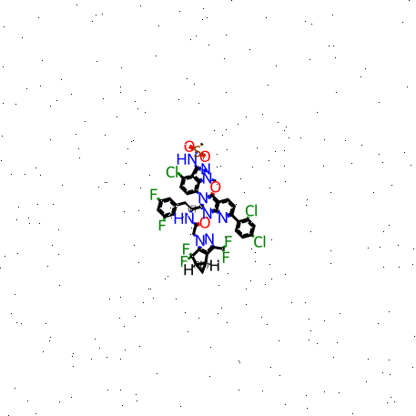 Cn1nc(NS(C)(=O)=O)c2c(Cl)ccc(-n3c([C@H](Cc4cc(F)cc(F)c4)NC(=O)Cn4nc(C(F)F)c5c4C(F)(F)[C@@H]4C[C@H]54)nc4nc(-c5ccc(Cl)cc5Cl)ccc4c3=O)c21